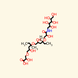 CCC(C)(CC(O)COCC(O)C(=O)O)OCC(O)CC(C)(CC)OCC(O)C(=O)NC[C@H](O)[C@@H](O)[C@H](O)[C@H](O)CO